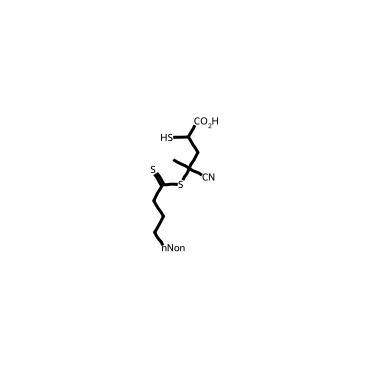 CCCCCCCCCCCCC(=S)SC(C)(C#N)CC(S)C(=O)O